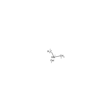 CNC.[Ge]